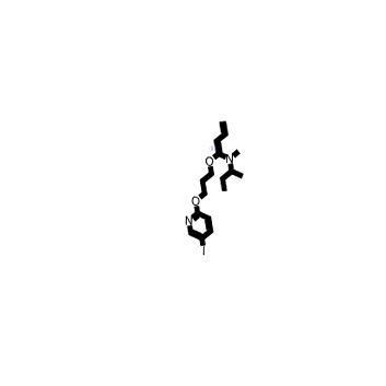 C=C/C=C(/OCCCOc1ccc(I)cn1)N(C)C(C)CC